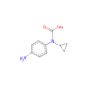 Nc1ccc(N(C(=O)O)C2CC2)cc1